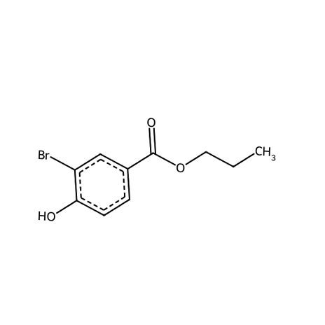 CCCOC(=O)c1ccc(O)c(Br)c1